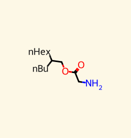 CCCCCCC(CCCC)COC(=O)CN